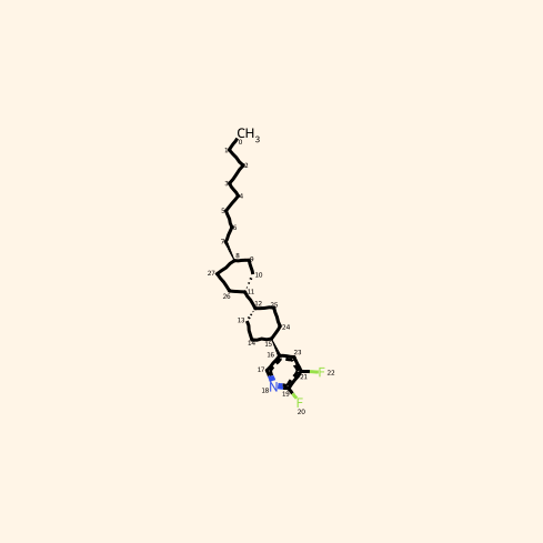 CCCCCCCC[C@H]1CC[C@H]([C@H]2CC[C@H](c3cnc(F)c(F)c3)CC2)CC1